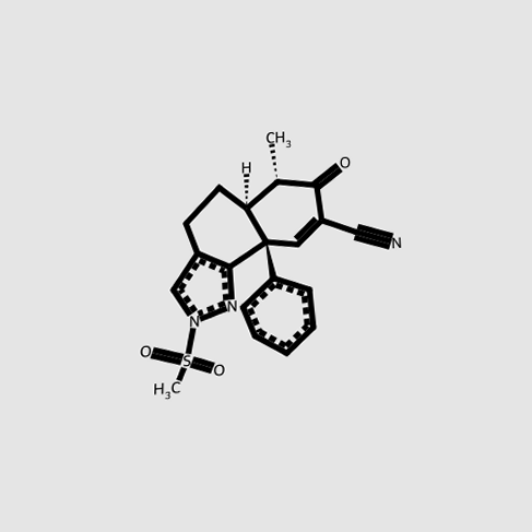 C[C@@H]1C(=O)C(C#N)=C[C@]2(c3ccccc3)c3nn(S(C)(=O)=O)cc3CC[C@@H]12